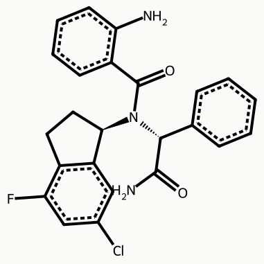 NC(=O)[C@@H](c1ccccc1)N(C(=O)c1ccccc1N)[C@@H]1CCc2c(F)cc(Cl)cc21